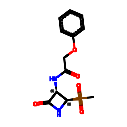 CS(=O)(=O)[C@H]1NC(=O)[C@@H]1NC(=O)COc1ccccc1